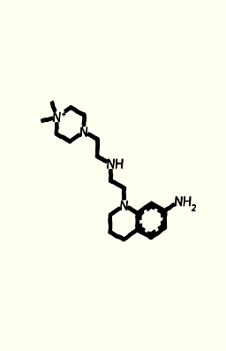 C[N+]1(C)CCN(CCNCCN2CCCc3ccc(N)cc32)CC1